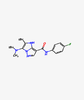 CN(c1c(C(C)(C)C)[nH]c2c(C(=O)Nc3ccc(F)cc3)cnn12)C(C)(C)C